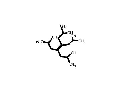 CC(O)CC(CC(C)O)=C(CC(C)O)CC(C)O